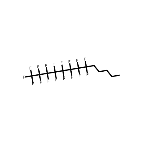 CCCCCC(F)(F)C(F)(F)C(F)(F)C(F)(F)C(F)(F)C(F)(F)C(F)(F)C(F)(F)F